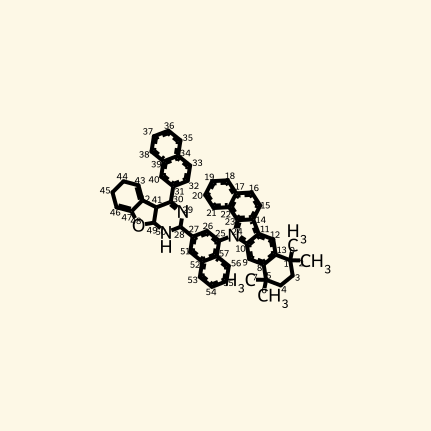 CC1(C)CCC(C)(C)c2cc3c(cc21)c1ccc2ccccc2c1n3-c1cc(C2N=C(c3ccc4ccccc4c3)C3C4=CCCC=C4OC3N2)cc2ccccc12